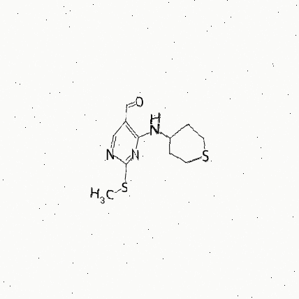 CSc1ncc(C=O)c(NC2CCSCC2)n1